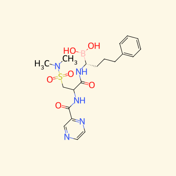 CN(C)S(=O)(=O)CC(NC(=O)c1cnccn1)C(=O)N[C@@H](CCCc1ccccc1)B(O)O